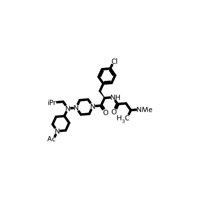 CNC(C)CC(=O)N[C@H](Cc1ccc(Cl)cc1)C(=O)N1CCN(N(CC(C)C)C2CCN(C(C)=O)CC2)CC1